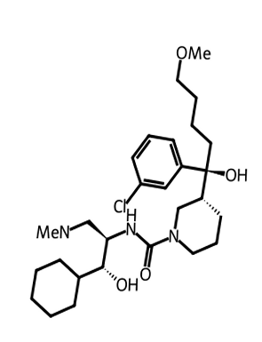 CNC[C@@H](NC(=O)N1CCC[C@@H]([C@@](O)(CCCCOC)c2cccc(Cl)c2)C1)[C@H](O)C1CCCCC1